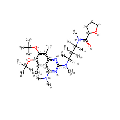 [2H]c1c(OC([2H])([2H])[2H])c(OC([2H])([2H])[2H])c(C)c2c(N([2H])[2H])nc(N(C)C([2H])([2H])C([2H])([2H])C([2H])([2H])N([2H])C(=O)C3CCCO3)nc12